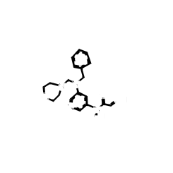 C=CC(=O)N(C)c1cncc(N(Cc2ccccc2)CN2CCOCC2)c1